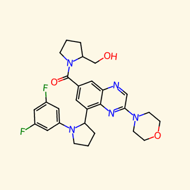 O=C(c1cc(C2CCCN2c2cc(F)cc(F)c2)c2nc(N3CCOCC3)cnc2c1)N1CCCC1CO